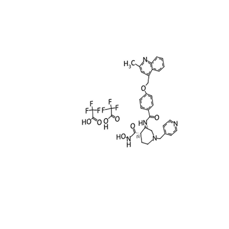 Cc1cc(COc2ccc(C(=O)N[C@@H]3CN(Cc4ccncc4)CC[C@@H]3C(=O)NO)cc2)c2ccccc2n1.O=C(O)C(F)(F)F.O=C(O)C(F)(F)F